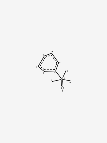 CS(C)(C)(=O)c1cc[c]cc1